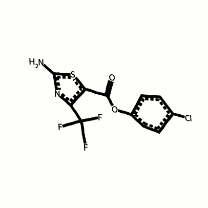 Nc1nc(C(F)(F)F)c(C(=O)Oc2ccc(Cl)cc2)s1